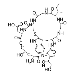 CC[C@H](C)[C@@H]1NC(=O)CNC(=O)[C@H]2Cc3c([nH]c4ccccc34)SC[C@H](NC(=O)CNC1=O)C(=O)NC(CC(=O)O)C(=O)CC[C@H](O)C[C@H](N)C(=O)N[C@@H]([C@@H](C)[C@@H](O)CO)C(=O)N2